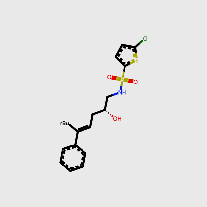 CCCC/C(=C\C[C@@H](O)CNS(=O)(=O)c1ccc(Cl)s1)c1ccccc1